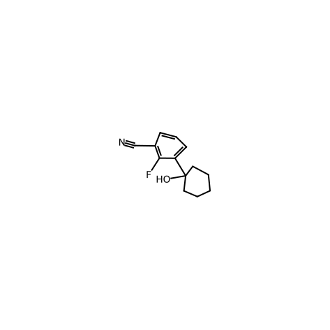 N#Cc1cccc(C2(O)CCCCC2)c1F